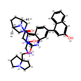 NCC(O)CC(=O)N1[C@@H]2CC[C@H]1CN(c1nc(OCC34CCCN3CCC4)nc3cc(-c4cc(O)cc5ccccc45)ccc13)C2